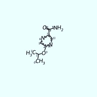 CC(C)Oc1cnc(C(N)=O)cn1